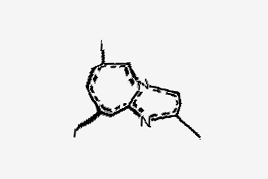 Cc1cn2cc(I)cc(I)c2n1